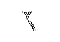 Oc1ccc(-c2nc3ccn(CCCN4CCN(C(c5ccc(F)cc5)c5ccc(F)cc5)CC4)cc-3n2)cc1